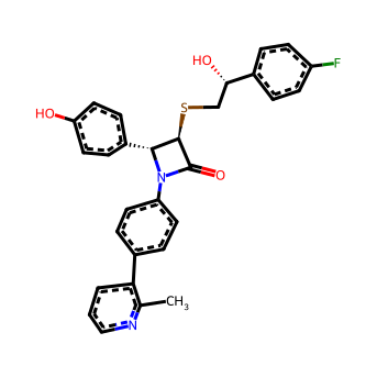 Cc1ncccc1-c1ccc(N2C(=O)[C@H](SC[C@H](O)c3ccc(F)cc3)[C@H]2c2ccc(O)cc2)cc1